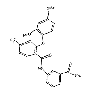 COc1ccc(Oc2cc(C(F)(F)F)ccc2C(=O)Nc2cccc(C(N)=O)c2)c(OC)c1